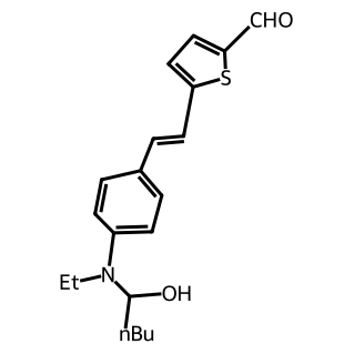 CCCCC(O)N(CC)c1ccc(/C=C/c2ccc(C=O)s2)cc1